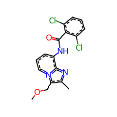 COCc1c(C)nc2c(NC(=O)c3c(Cl)cccc3Cl)cccn12